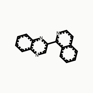 c1ccc2c(-c3cnc4ccccc4n3)nccc2c1